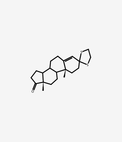 C[C@]12CCC3(C=C1CCC1C2CC[C@]2(C)C(=O)CCC12)SCCS3